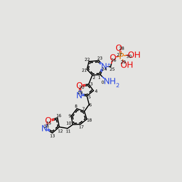 Nc1c(-c2cc(Cc3ccc(Cc4cnoc4)cc3)no2)ccc[n+]1COP(=O)(O)O